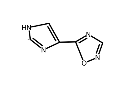 [c]1nc(-c2ncno2)c[nH]1